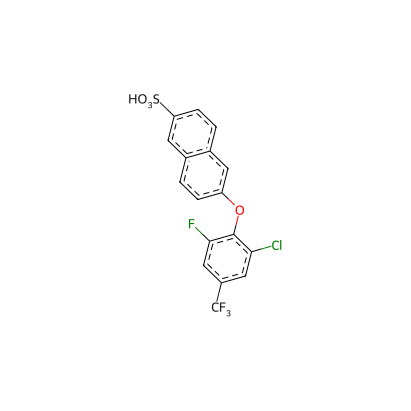 O=S(=O)(O)c1ccc2cc(Oc3c(F)cc(C(F)(F)F)cc3Cl)ccc2c1